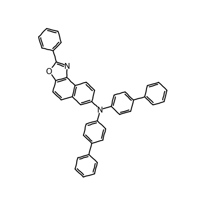 c1ccc(-c2ccc(N(c3ccc(-c4ccccc4)cc3)c3ccc4c(ccc5oc(-c6ccccc6)nc54)c3)cc2)cc1